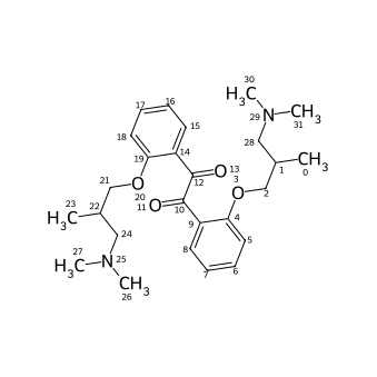 CC(COc1ccccc1C(=O)C(=O)c1ccccc1OCC(C)CN(C)C)CN(C)C